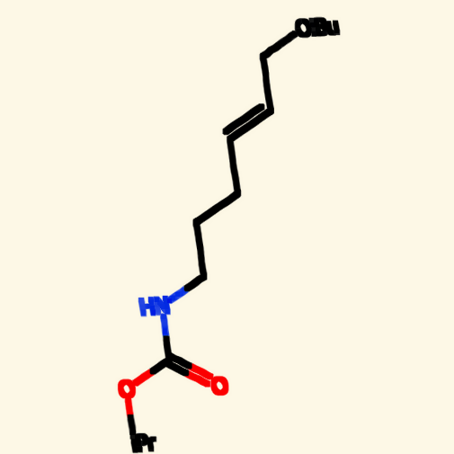 CC(C)COC/C=C/CCCNC(=O)OC(C)C